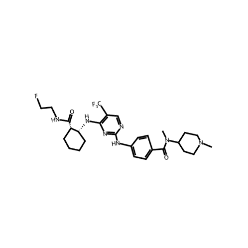 CN1CCC(N(C)C(=O)c2ccc(Nc3ncc(C(F)(F)F)c(N[C@@H]4CCCC[C@@H]4C(=O)NCCF)n3)cc2)CC1